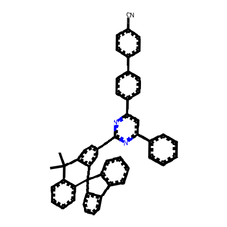 CC1(C)c2ccccc2C2(c3ccccc3-c3ccccc32)c2cc(-c3nc(-c4ccccc4)cc(-c4ccc(-c5ccc(C#N)cc5)cc4)n3)ccc21